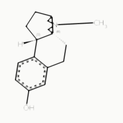 CN1CC2CC[C@H]3c4ccc(O)cc4CC[C@]23C1